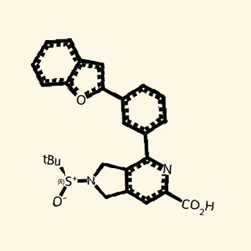 CC(C)(C)[S@+]([O-])N1Cc2cc(C(=O)O)nc(-c3cccc(-c4cc5ccccc5o4)c3)c2C1